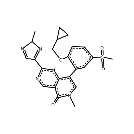 CC1N=CC(c2ncc3c(=O)n(C)cc(-c4cc(S(C)(=O)=O)ccc4OCC4CC4)c3n2)=N1